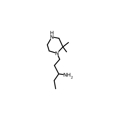 CCC(N)CCN1CCNCC1(C)C